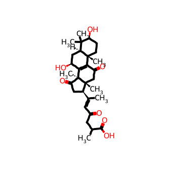 C/C(=C\C(=O)CC(C)C(=O)O)[C@H]1CC(=O)[C@@]2(C)C3=C(C(=O)C[C@]12C)[C@@]1(C)CC[C@H](O)C(C)(C)[C@@H]1C[C@@H]3O